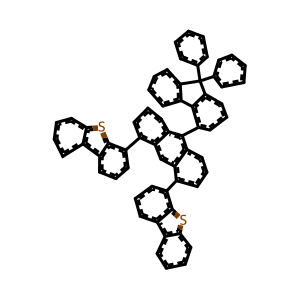 c1ccc(C2(c3ccccc3)c3ccccc3-c3c(-c4c5cccc(-c6cccc7c6sc6ccccc67)c5cc5c(-c6cccc7c6sc6ccccc67)cccc45)cccc32)cc1